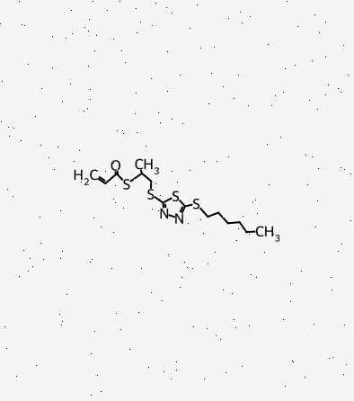 C=CC(=O)SC(C)CSc1nnc(SCCCCCC)s1